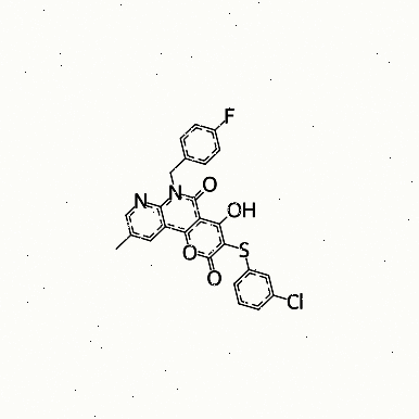 Cc1cnc2c(c1)c1oc(=O)c(Sc3cccc(Cl)c3)c(O)c1c(=O)n2Cc1ccc(F)cc1